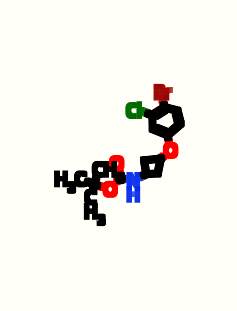 CC(C)(C)OC(=O)NC1CC(Oc2ccc(Br)c(Cl)c2)C1